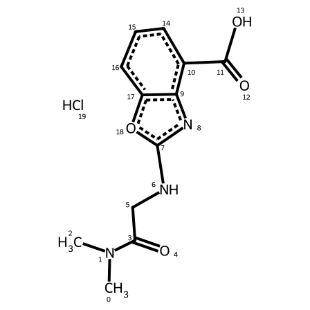 CN(C)C(=O)CNc1nc2c(C(=O)O)cccc2o1.Cl